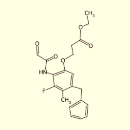 CCOC(=O)CCOc1cc(Cc2ccccc2)c(C)c(F)c1NC(=O)C=O